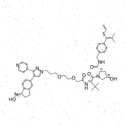 C=CSC(=C(C)C)c1ccc(CNC(=O)[C@@H]2C[C@@H](O)CN2C(=O)[C@@H](NC(=O)COCCOCCCn2cc(-c3ccc4c(c3)CC/C4=N\O)c(-c3ccncc3)n2)C(C)(C)C)cc1